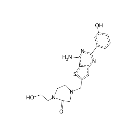 Nc1nc(-c2cccc(O)c2)nc2cc(CN3CCN(CCO)C(=O)C3)sc12